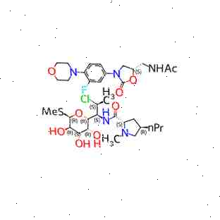 CC(=O)NC[C@H]1CN(c2ccc(N3CCOCC3)c(F)c2)C(=O)O1.CCC[C@@H]1C[C@@H](C(=O)N[C@@H]([C@H]2O[C@H](SC)[C@H](O)[C@@H](O)[C@H]2O)[C@H](C)Cl)N(C)C1